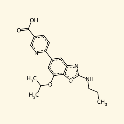 CCCNc1nc2cc(-c3ccc(C(=O)O)cn3)cc(OC(C)C)c2o1